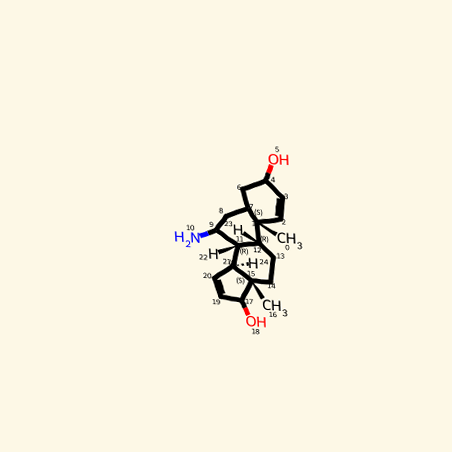 C[C@]12C=CC(O)CC1CC(N)[C@@H]1[C@H]2CC[C@]2(C)C(O)C=C[C@@H]12